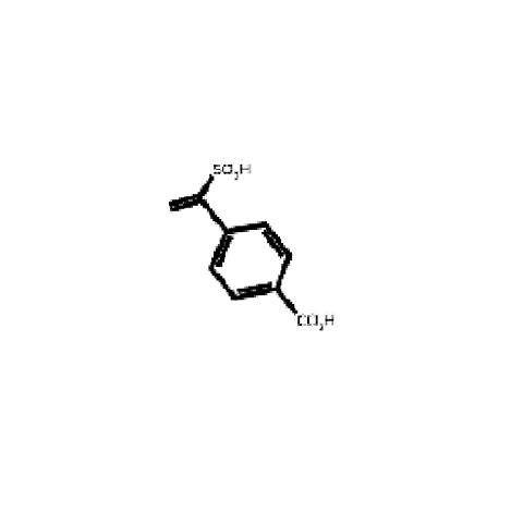 C=C(c1ccc(C(=O)O)cc1)S(=O)(=O)O